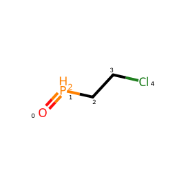 O=[PH2]CCCl